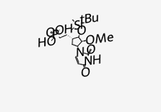 CO[C@@H]1[C@H](O[Si](C)(C)C(C)(C)C)[C@@H](CCP(=O)(O)O)C[C@H]1n1ccc(=O)[nH]c1=O